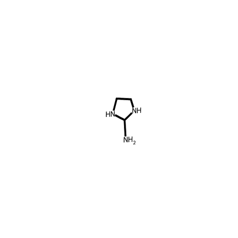 NC1NCCN1